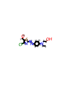 CCN(CCO)c1ccc(/N=N/c2nc(Cl)c(C=O)s2)cc1